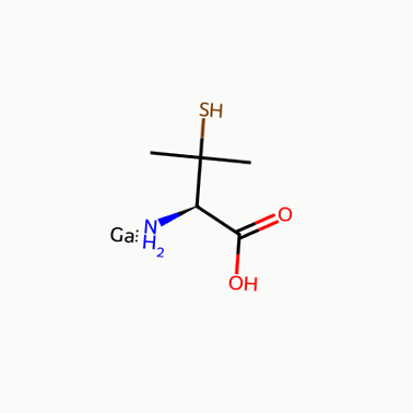 CC(C)(S)[C@H](N)C(=O)O.[Ga]